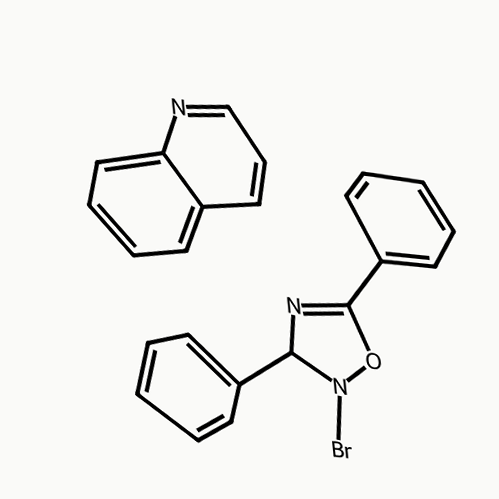 BrN1OC(c2ccccc2)=NC1c1ccccc1.c1ccc2ncccc2c1